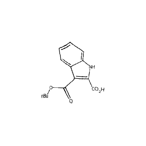 CCCCOC(=O)c1c(C(=O)O)[nH]c2ccccc12